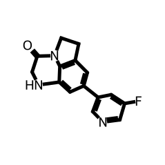 O=C1CNc2cc(-c3cncc(F)c3)cc3c2N1CC3